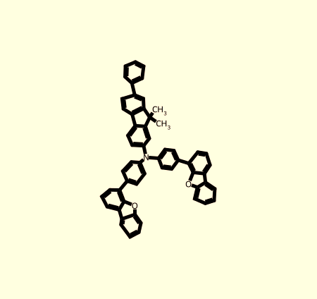 CC1(C)c2cc(-c3ccccc3)ccc2-c2ccc(N(c3ccc(-c4cccc5c4oc4ccccc45)cc3)c3ccc(-c4cccc5c4oc4ccccc45)cc3)cc21